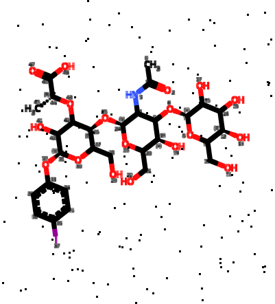 CC(=O)NC1C(O[C@@H]2OC(CO)[C@H](O)C(O)C2O)[C@@H](O)C(CO)O[C@H]1O[C@H]1C(CO)O[C@@H](Oc2ccc(I)cc2)C(O)C1O[C@H](C)C(=O)O